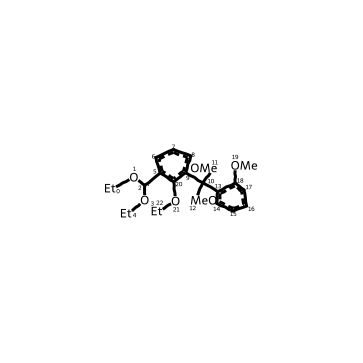 CCO[C](OCC)c1cccc(C(OC)(OC)c2ccccc2OC)c1OCC